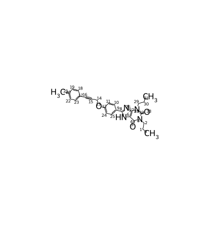 CCCn1c(=O)c2[nH]c(-c3ccc(OCC#Cc4ccc(C)cc4)cc3)nc2n(CCC)c1=O